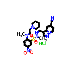 CN(CCN1CCCCC1)c1ccc([N+](=O)[O-])cc1S(=O)(=O)N(C)N=Cc1cnn2ccc(C#N)cc12.Cl